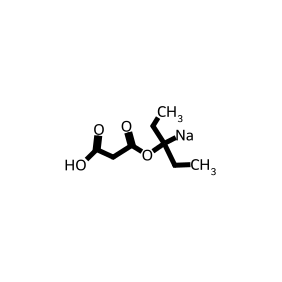 CC[C]([Na])(CC)OC(=O)CC(=O)O